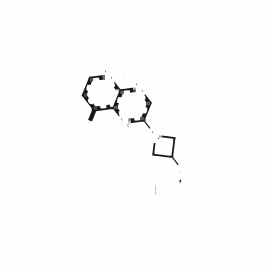 COC1CN(c2cnc3[nH]ccc(=O)c3n2)C1